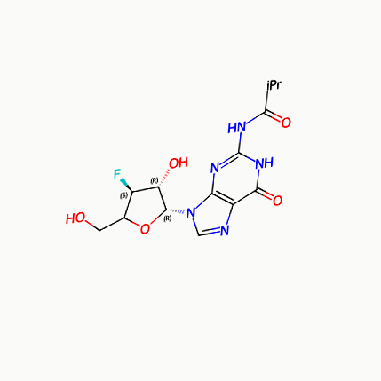 CC(C)C(=O)Nc1nc2c(ncn2[C@@H]2OC(CO)[C@@H](F)[C@@H]2O)c(=O)[nH]1